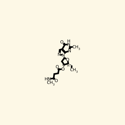 CC[C@H]1O[C@@H](n2ncc3c(=O)[nH]c(C)nc32)C[C@H]1OC(=O)CCC(=O)NC